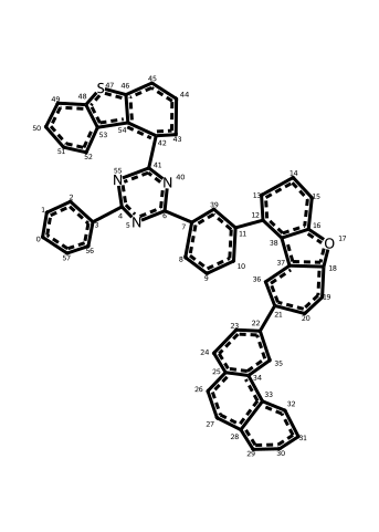 c1ccc(-c2nc(-c3cccc(-c4cccc5oc6ccc(-c7ccc8ccc9ccccc9c8c7)cc6c45)c3)nc(-c3cccc4sc5ccccc5c34)n2)cc1